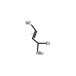 CCCCC(/C=C/C#N)CC